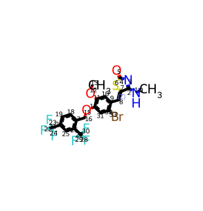 CNC1=NC(=O)S/C1=C\c1cc(OC)c(OCc2ccc(C(F)(F)F)cc2C(F)(F)F)cc1Br